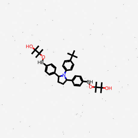 CC(C)(C)c1ccc(N2C(c3ccc(BOC(C)(C)C(C)(C)O)cc3)CCC2c2ccc(BOC(C)(C)C(C)(C)O)cc2)cc1